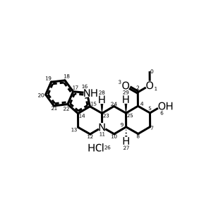 COC(=O)C1C(O)CC[C@H]2CN3CCc4c([nH]c5ccccc45)[C@@H]3C[C@H]12.Cl